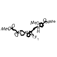 CNC(=O)c1ccc(NCC#Cc2cc3c(NC4CCN(C(=O)CCC(=O)OC)CC4)cccc3n2CC(F)(F)F)c(OC)c1